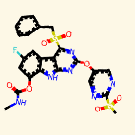 CNC(=O)Oc1cc(F)cc2c1[nH]c1nc(Oc3cnc(S(C)(=O)=O)nc3)nc(S(=O)(=O)Cc3ccccc3)c12